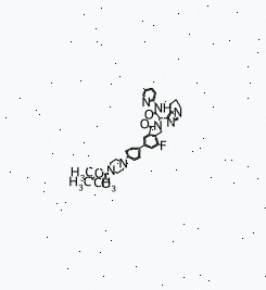 CC(C)(C)OC(=O)N1CCN(c2ccc(-c3cc(F)c4c(c3)C(=O)N(C(C(=O)Nc3ccccn3)c3ncn5c3CCC5)C4)cc2)CC1